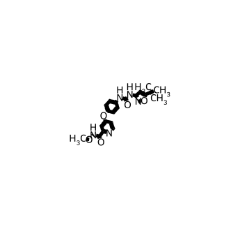 CONC(=O)c1cc(Oc2ccc(NC(=O)Nc3cc(C(C)(C)C)on3)cc2)ccn1